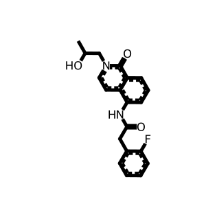 CC(O)Cn1ccc2c(NC(=O)Cc3ccccc3F)cccc2c1=O